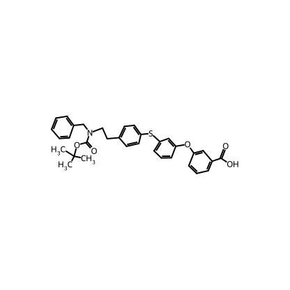 CC(C)(C)OC(=O)N(CCc1ccc(Sc2cccc(Oc3cccc(C(=O)O)c3)c2)cc1)Cc1ccccc1